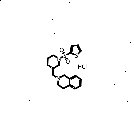 Cl.O=S(=O)(c1cccs1)N1CCCC(CN2CCc3ccccc3C2)C1